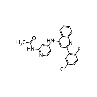 CC(=O)Nc1cc(Nc2cc(-c3cc(Cl)ccc3F)nc3ccccc23)ccn1